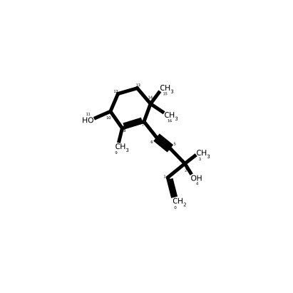 C=CC(C)(O)C#CC1=C(C)C(O)CCC1(C)C